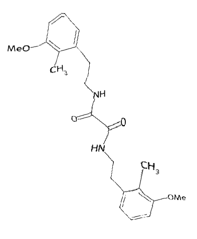 COc1cccc(CCNC(=O)C(=O)NCCc2cccc(OC)c2C)c1C